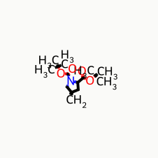 C=C1CC(C(=O)OC(C)(C)C)N(C(=O)OC(C)(C)C)C1